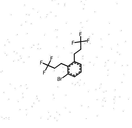 FC(F)(F)CCc1cccc(Br)c1CCC(F)(F)F